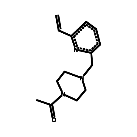 C=Cc1cccc(CN2CCN(C(C)=O)CC2)n1